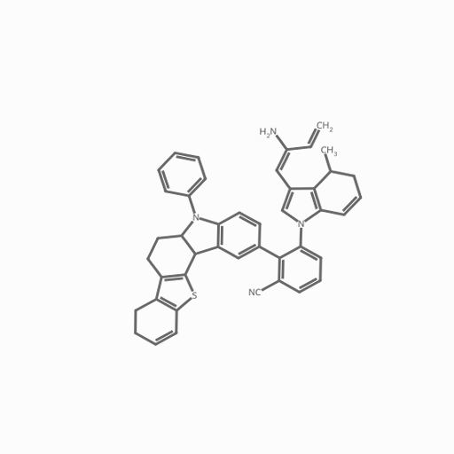 C=C/C(N)=C\c1cn(-c2cccc(C#N)c2-c2ccc3c(c2)C2c4sc5c(c4CCC2N3c2ccccc2)CCC=C5)c2c1C(C)CC=C2